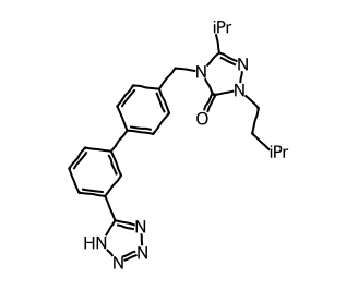 CC(C)CCn1nc(C(C)C)n(Cc2ccc(-c3cccc(-c4nnn[nH]4)c3)cc2)c1=O